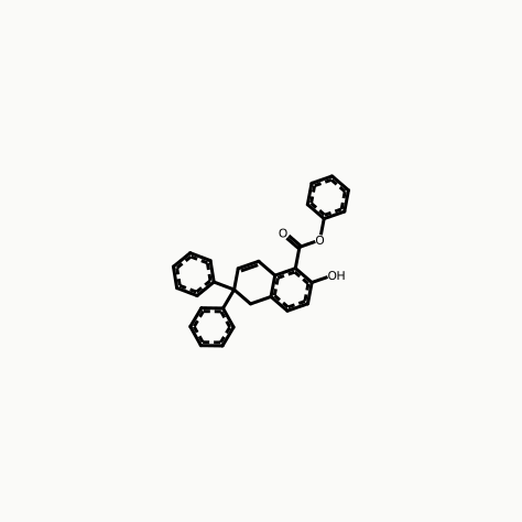 O=C(Oc1ccccc1)c1c(O)ccc2c1C=CC(c1ccccc1)(c1ccccc1)C2